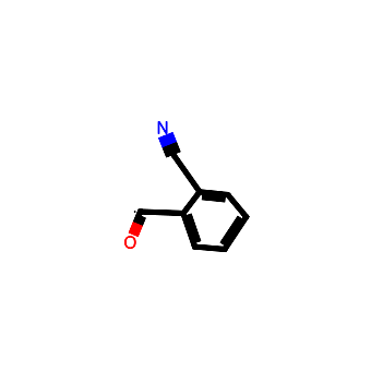 N#Cc1ccccc1[C]=O